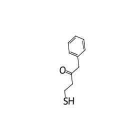 O=C(CCS)Cc1ccccc1